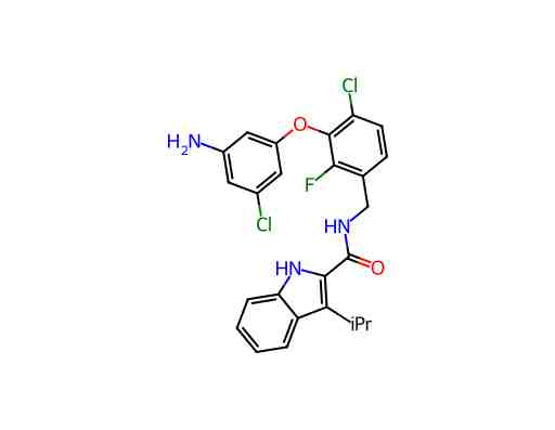 CC(C)c1c(C(=O)NCc2ccc(Cl)c(Oc3cc(N)cc(Cl)c3)c2F)[nH]c2ccccc12